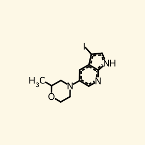 CC1CN(c2cnc3[nH]cc(I)c3c2)CCO1